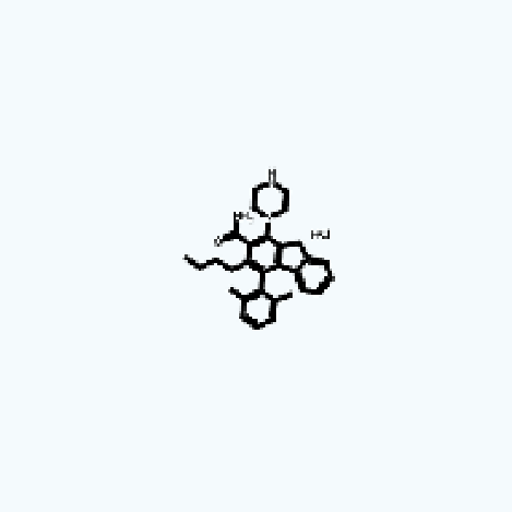 CCCCc1c(C(N)=O)c(N2CCNCC2)c2c(c1-c1c(C)cccc1C)-c1ccccc1C2.Cl